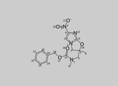 CN(CC1(C)Cn2cc([N+](=O)[O-])nc2O1)C(=O)OCc1ccccc1